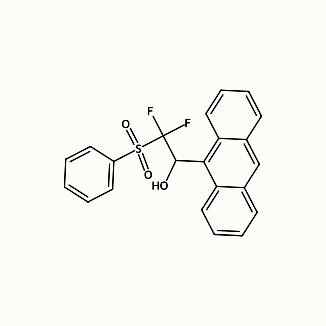 O=S(=O)(c1ccccc1)C(F)(F)C(O)c1c2ccccc2cc2ccccc12